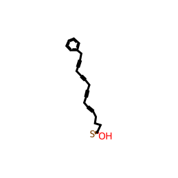 OC(=S)CCCC#CCC#CCC#CCC#CCc1ccccc1